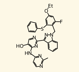 CCOc1cc(F)c(Cn2nc(-c3ncc(O)c(Nc4ccnc(C)n4)n3)c3ccccc32)c(Sc2ccccc2)c1